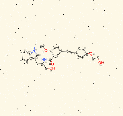 CC(C)Oc1ccc(C#Cc2ccc(OCCO)cc2)cc1C(=O)N[C@@H](CO)Cc1c[nH]c2ccccc12